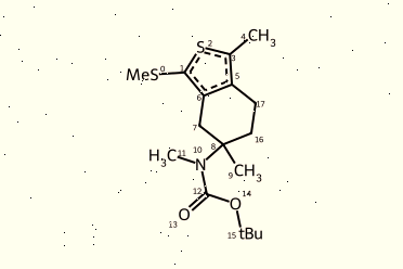 CSc1sc(C)c2c1CC(C)(N(C)C(=O)OC(C)(C)C)CC2